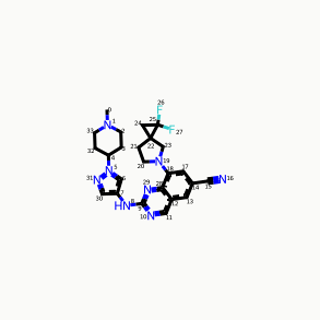 CN1CCC(n2cc(Nc3ncc4cc(C#N)cc(N5CCC6(C5)CC6(F)F)c4n3)cn2)CC1